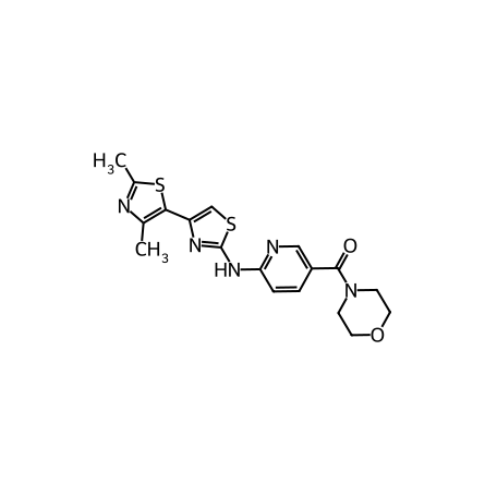 Cc1nc(C)c(-c2csc(Nc3ccc(C(=O)N4CCOCC4)cn3)n2)s1